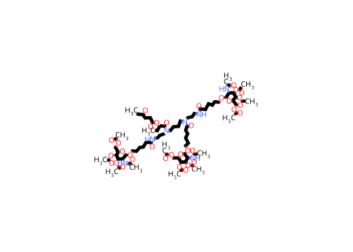 CCC(=O)CCC(=O)OC(CC)C(=O)N(CCCCN(CCCNC(=O)CCCCCO[C@@H]1OC(COC(C)=O)[C@H](OC(C)=O)[C@H](OC(C)=O)C1NC(C)=O)C(=O)CCCCCO[C@@H]1OC(COC(C)=O)[C@H](OC(C)=O)[C@H](OC(C)=O)C1NC(C)=O)CCCNC(=O)CCCCCO[C@@H]1OC(COC(C)=O)[C@H](OC(C)=O)[C@H](OC(C)=O)C1NC(C)=O